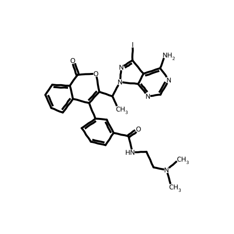 CC(c1oc(=O)c2ccccc2c1-c1cccc(C(=O)NCCN(C)C)c1)n1nc(I)c2c(N)ncnc21